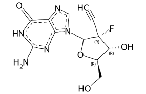 C#C[C@]1(F)C(n2cnc3c(=O)[nH]c(N)nc32)O[C@H](CO)[C@H]1O